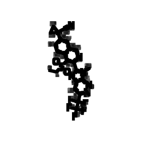 CCS(=O)(=O)c1c(-c2nc3cc(C(F)(F)C(F)(F)F)nnc3n2C)ncc2cc(C3(C#N)CC3)ccc12